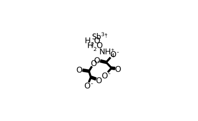 O.O.O=C([O-])C(=O)[O-].O=C([O-])C(=O)[O-].[NH4+].[Sb+3]